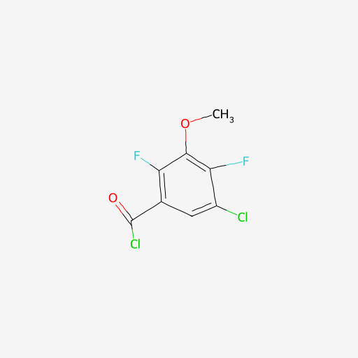 COc1c(F)c(Cl)cc(C(=O)Cl)c1F